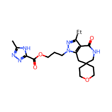 CCc1nn(CCCOC(=O)c2nnc(C)[nH]2)c2c1C(=O)NCC1(CCOCC1)C2